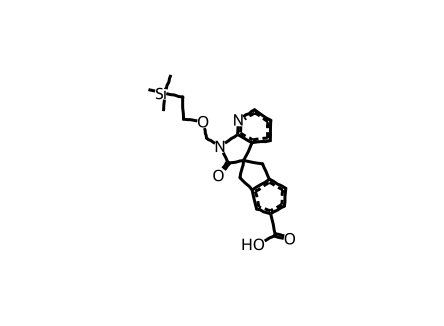 C[Si](C)(C)CCOCN1C(=O)C2(Cc3ccc(C(=O)O)cc3C2)c2cccnc21